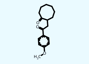 COc1ccc(C(=O)CC2CCCCCCC2=O)cc1